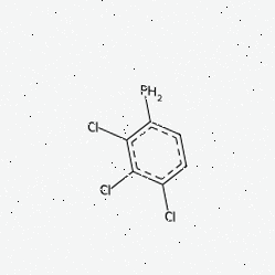 Pc1ccc(Cl)c(Cl)c1Cl